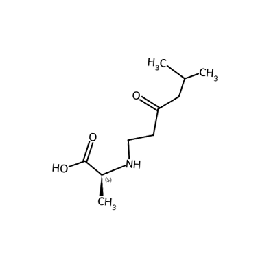 CC(C)CC(=O)CCN[C@@H](C)C(=O)O